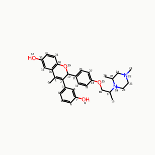 CC1=C(c2cccc(O)c2)C(c2ccc(OCC(C)N3CCN(C)CC3C)cc2)Oc2ccc(O)cc21